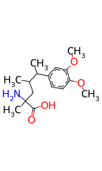 COc1ccc(C(C)C(C)CC(C)(N)C(=O)O)cc1OC